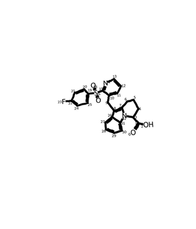 O=C(O)C1CCCc2c(Cc3cccnc3S(=O)(=O)c3ccc(F)cc3)c3ccccc3n21